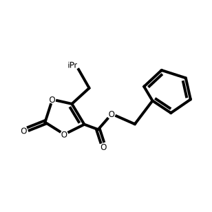 CC(C)Cc1oc(=O)oc1C(=O)OCc1ccccc1